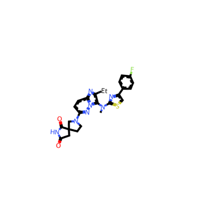 CCc1nc2ccc(N3CCC4(CC(=O)NC4=O)C3)nn2c1N(C)c1nc(-c2ccc(F)cc2)cs1